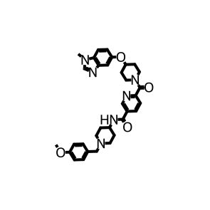 COc1ccc(CN2CCC(NC(=O)c3ccc(C(=O)N4CCC(Oc5ccc6c(c5)ncn6C)CC4)nc3)CC2)cc1